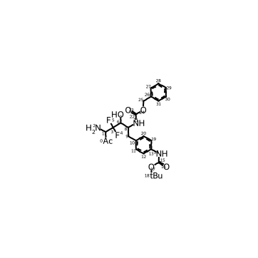 CC(=O)C(N)C(F)(F)C(O)C(Cc1ccc(NC(=O)OC(C)(C)C)cc1)NC(=O)OCc1ccccc1